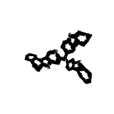 c1ccc2c(c1)ccc1sc3cc(N(c4ccc5c(c4)sc4ccccc45)c4ccc5sc6ccccc6c5c4)ncc3c12